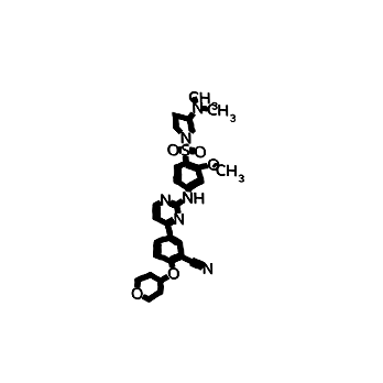 COc1cc(Nc2nccc(-c3ccc(OC4CCOCC4)c(C#N)c3)n2)ccc1S(=O)(=O)N1CCC(N(C)C)C1